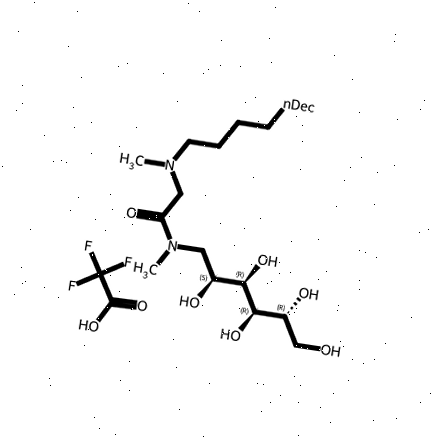 CCCCCCCCCCCCCCN(C)CC(=O)N(C)C[C@H](O)[C@@H](O)[C@H](O)[C@H](O)CO.O=C(O)C(F)(F)F